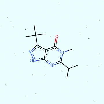 CC(C)c1nc2[nH]nc(C(C)(C)C)c2c(=O)n1C